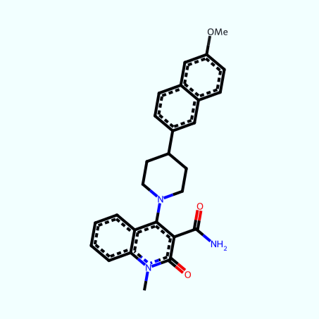 COc1ccc2cc(C3CCN(c4c(C(N)=O)c(=O)n(C)c5ccccc45)CC3)ccc2c1